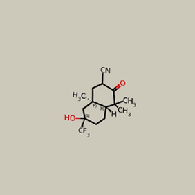 CC1(C)C(=O)C(C#N)C[C@]2(C)C[C@](O)(C(F)(F)F)CC[C@@H]12